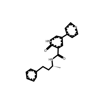 C[C@H](CCc1ccccc1)NC(=O)c1cc(-c2ccncc2)c[nH]c1=O